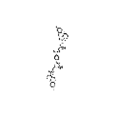 CC(C)c1ccc2c(c1)CCC1C(C)(C(=O)OCC(O)COC(=O)c3ccc(C(CC(O)COC(=O)C4(C)CCCC5(C)c6ccc(C(C)C)cc6CCC45)OO)cc3)CCCC21C